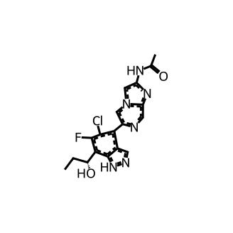 CC[C@@H](O)c1c(F)c(Cl)c(-c2cn3cc(NC(C)=O)nc3cn2)c2cn[nH]c12